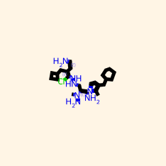 Cc1c(CC2CCCCC2)ccn1/C(N)=C(\CNN/C(Cl)=C(\C=C/N)CC1CCC1)N(C)N